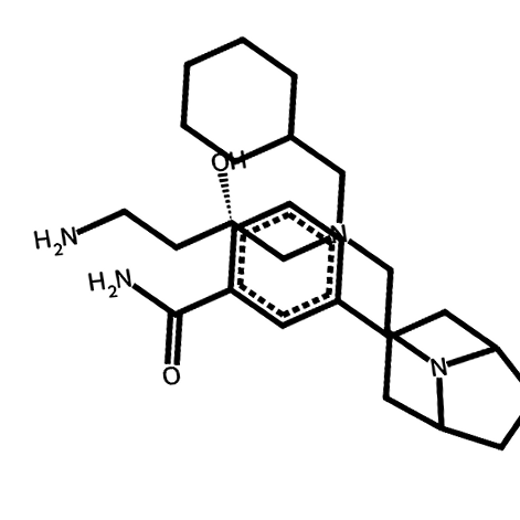 NCC[C@H](O)CN(CCN1C2CCC1CC(c1cccc(C(N)=O)c1)C2)CC1CCCCC1